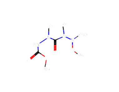 CC(C)N(NC(=O)OC(C)(C)C)C(=O)N(C(C)C)N(C=O)OC(C)(C)C